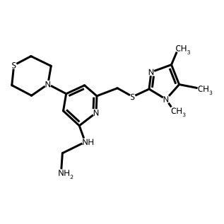 Cc1nc(SCc2cc(N3CCSCC3)cc(NCN)n2)n(C)c1C